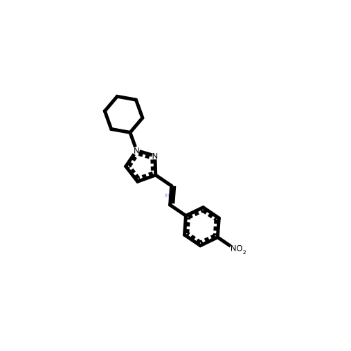 O=[N+]([O-])c1ccc(/C=C/c2ccn(C3CCCCC3)n2)cc1